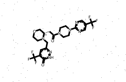 O=C(C[C@H]1COCCN1Cc1cc(C(F)(F)F)c(=O)[nH]n1)N1CCN(c2ncc(C(F)(F)F)cn2)CC1